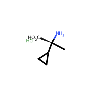 C[C@](N)(C(=O)O)C1CC1.Cl